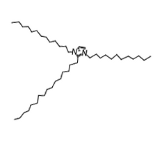 CCCCCCCCCCCCCCCCc1n(CCCCCCCCCCCC)cc[n+]1CCCCCCCCCCCCC